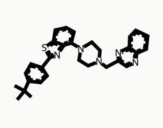 CC(C)(C)c1ccc(-c2nc3c(N4CCN(Cc5cnc6ccccc6n5)CC4)cccc3s2)cc1